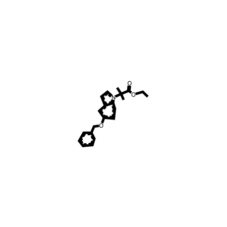 CCOC(=O)C(C)(C)n1ccc2cc(OCc3ccccc3)ccc21